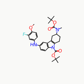 COc1ccc(Nc2ccc3c(c2)c2c(n3C(=O)OC(C)(C)C)CCC(N(C)C(=O)OC(C)(C)C)C2)cc1F